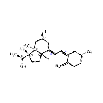 C=C1CC[C@@H](O)C/C1=C/C=C1\C[C@H](O)C[C@@]2(C)[C@H]1CC[C@]2(O)[C@H](C)O